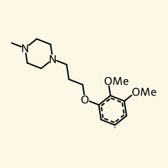 COc1c[c]cc(OCCCN2CCN(C)CC2)c1OC